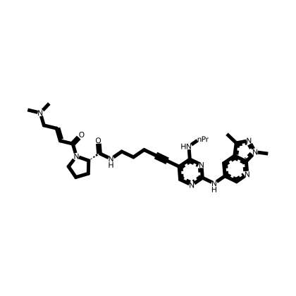 CCCNc1nc(Nc2cnc3c(c2)c(C)nn3C)ncc1C#CCCCNC(=O)[C@@H]1CCCN1C(=O)/C=C/CN(C)C